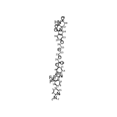 CN(C)c1ccc(-c2ccc(-c3nc4ccc(OC(=O)COCCOCCOc5ccc6c(c5)CN(C5CCC(=O)NC5=O)C6=O)cc4s3)c(C(F)(F)F)c2)cn1